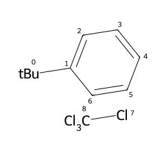 CC(C)(C)c1ccccc1.ClC(Cl)(Cl)Cl